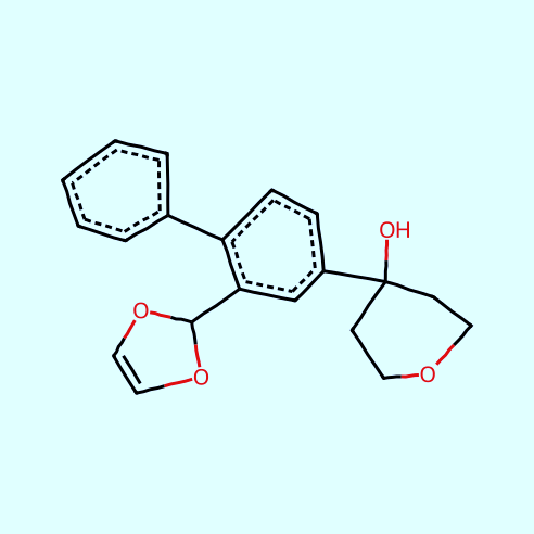 OC1(c2ccc(-c3ccccc3)c(C3OC=CO3)c2)CCOCC1